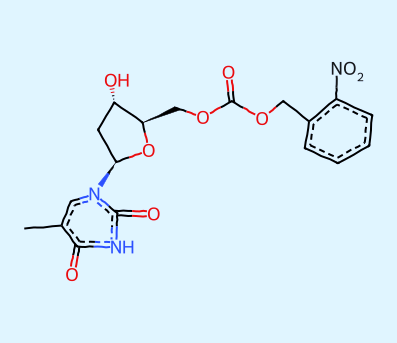 Cc1cn([C@H]2C[C@H](O)[C@@H](COC(=O)OCc3ccccc3[N+](=O)[O-])O2)c(=O)[nH]c1=O